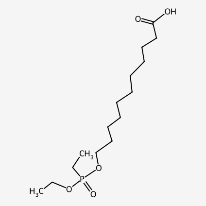 CCOP(=O)(CC)OCCCCCCCCCCC(=O)O